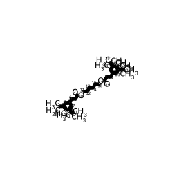 C=C(C)c1cc(CCC(=O)OCCCCCCOC(=O)CCc2cc(C(C)(C)C)c(C)c(C(C)(C)C)c2)cc(C(C)(C)C)c1O